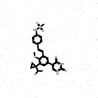 COc1c(/C=C/c2ccc(NS(C)(=O)=O)cc2)cc(-c2c[nH]c(=O)[nH]c2=O)cc1C1(C(F)F)CC1